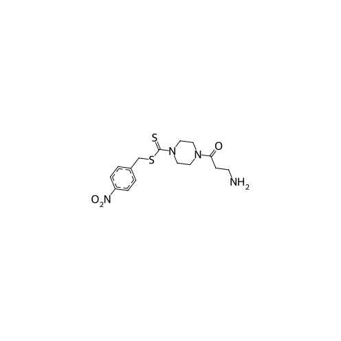 NCCC(=O)N1CCN(C(=S)SCc2ccc([N+](=O)[O-])cc2)CC1